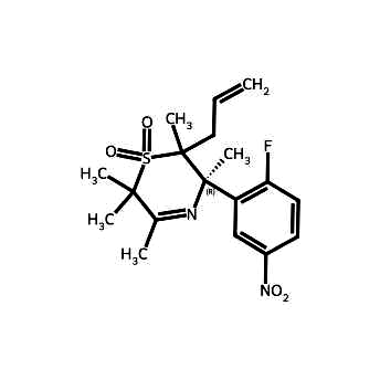 C=CCC1(C)[C@@](C)(c2cc([N+](=O)[O-])ccc2F)N=C(C)C(C)(C)S1(=O)=O